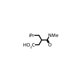 CNC(=O)C(CC(=O)O)CC(C)C